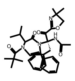 CC(=O)N[C@](Cc1ccccc1)(C(=O)C1=NC(C)(C)CO1)N1C(=O)C(C(C)C)N(C(=O)C(C)(C)C)C=C1c1ccccc1